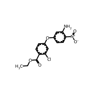 CCOC(=O)c1ccc(Oc2ccc([N+](=O)[O-])c(N)c2)cc1Cl